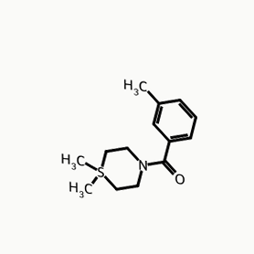 Cc1cccc(C(=O)N2CCS(C)(C)CC2)c1